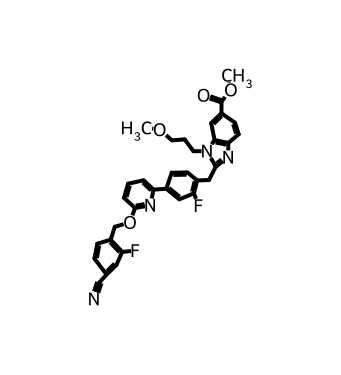 COCCCn1c(Cc2ccc(-c3cccc(OCc4ccc(C#N)cc4F)n3)cc2F)nc2ccc(C(=O)OC)cc21